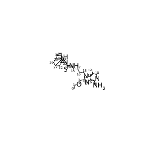 CCOCc1nc2c(N)ncc(C)c2n1CCCCNC(=S)NC12CC3CC(CC(C3)C1)C2